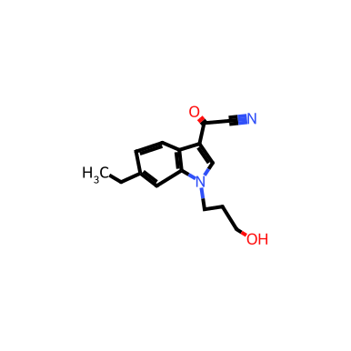 CCc1ccc2c(C(=O)C#N)cn(CCCO)c2c1